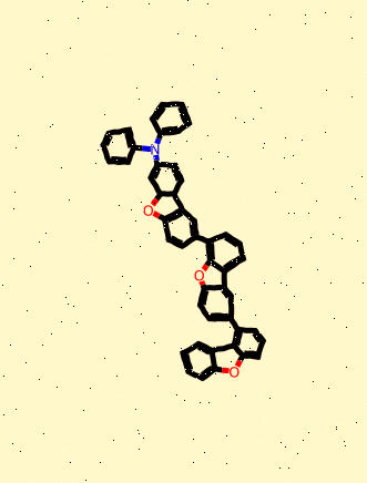 C1=CC2c3cc(-c4cccc5c4oc4ccc(-c6cccc7oc8ccccc8c67)cc45)ccc3OC2C=C1N(c1ccccc1)c1ccccc1